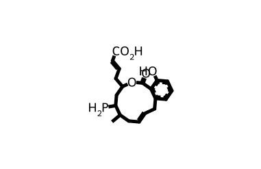 CC1C/C=C/Cc2cccc(O)c2C(=O)OC(C/C=C/C(=O)O)CC1P